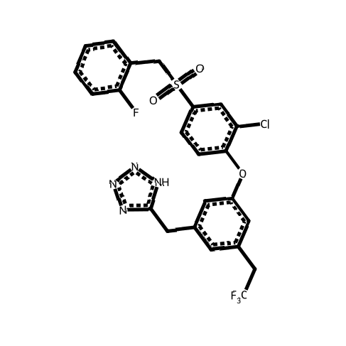 O=S(=O)(Cc1ccccc1F)c1ccc(Oc2cc(Cc3nnn[nH]3)cc(CC(F)(F)F)c2)c(Cl)c1